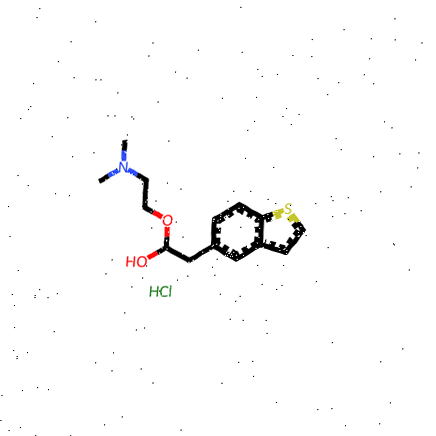 CN(C)CCOC(O)Cc1ccc2sccc2c1.Cl